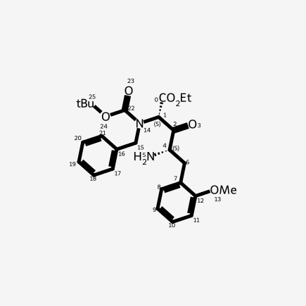 CCOC(=O)[C@H](C(=O)[C@@H](N)Cc1ccccc1OC)N(Cc1ccccc1)C(=O)OC(C)(C)C